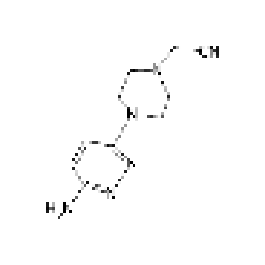 N#CCN1CCN(c2ccc(N)nn2)CC1